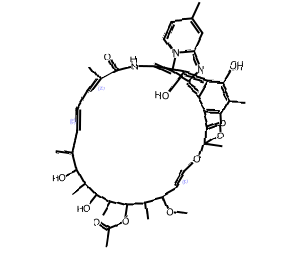 COC1/C=C/OC2(C)Oc3c(C)c(O)c4c(O)c(c5c(nc6cc(C)ccn65)c4c3C2=O)NC(=O)/C(C)=C\C=C\C(C)C(O)C(C)C(O)C(C)C(OC(C)=O)C1C